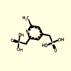 Cc1cc(CP(=O)(O)O)cc(CP(=O)(O)O)n1